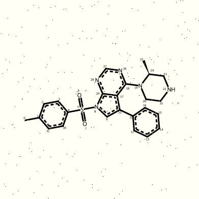 Cc1ccc(S(=O)(=O)n2cc(-c3ccccc3)c3c(N4CCNC[C@@H]4C)ncnc32)cc1